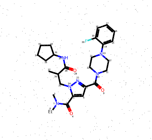 CCN(C)C(=O)c1cc(C(=O)N2CCN(c3ccccc3F)CC2)nn1CC(C)C(=O)NC1CCCC1